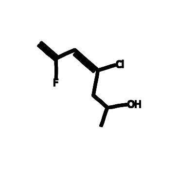 C=C(F)/C=C(/Cl)CC(C)O